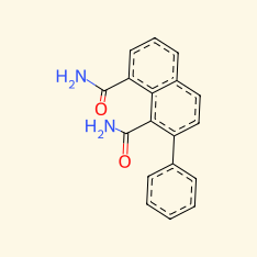 NC(=O)c1cccc2ccc(-c3ccccc3)c(C(N)=O)c12